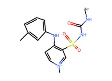 Cc1cccc(Nc2cc[n+](C)cc2S(=O)(=O)NC(=O)NC(C)C)c1